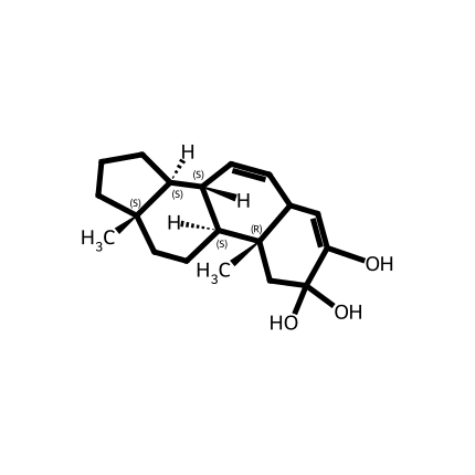 C[C@@]12CCC[C@H]1[C@@H]1C=CC3C=C(O)C(O)(O)C[C@]3(C)[C@H]1CC2